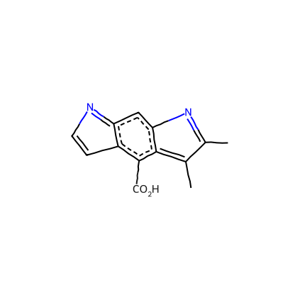 CC1=Nc2cc3c(c(C(=O)O)c2=C1C)C=CN=3